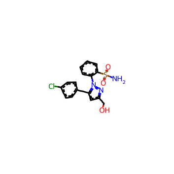 NS(=O)(=O)c1ccccc1-n1nc(CO)cc1-c1ccc(Cl)cc1